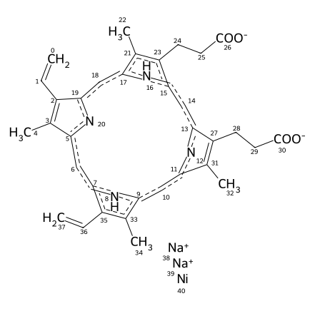 C=CC1=C(C)c2cc3[nH]c(cc4nc(cc5[nH]c(cc1n2)c(C)c5CCC(=O)[O-])C(CCC(=O)[O-])=C4C)c(C)c3C=C.[Na+].[Na+].[Ni]